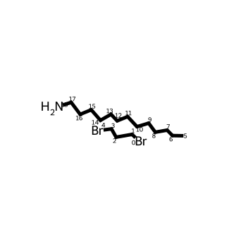 BrCCCBr.CCCCCCCCCCCCCN